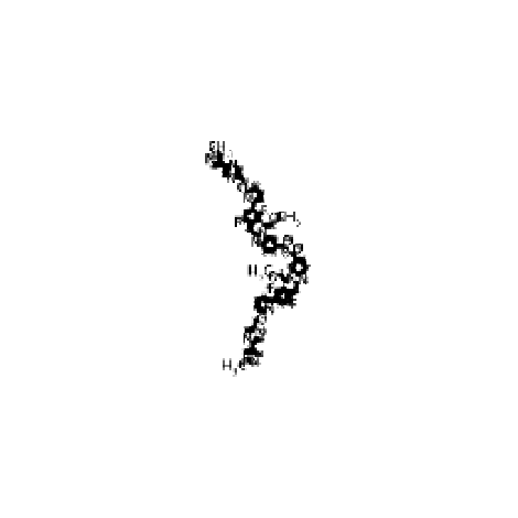 COCCn1c(Cc2cc(F)c(-c3cccc(OCc4cnc(-c5cnn(C)c5)cn4)n3)cc2F)nc2ccc(C(=O)OC(=O)c3ccc4nc(Cc5cc(F)c(-c6cccc(OCc7cnc(-c8cnn(C)c8)cn7)n6)cc5F)n(CCOC)c4c3)cc21